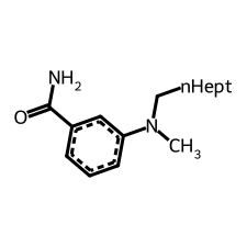 CCCCCCCCN(C)c1cccc(C(N)=O)c1